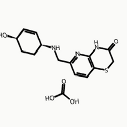 O=C(O)O.O=C1CSc2ccc(CN[C@@H]3C=C[C@H](O)CC3)nc2N1